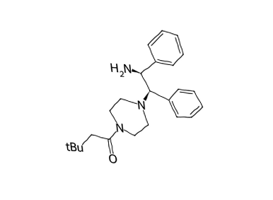 CC(C)(C)CC(=O)N1CCN([C@H](c2ccccc2)[C@@H](N)c2ccccc2)CC1